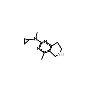 Cc1nc(N(C)C2CC2)nc2c1CNCC2